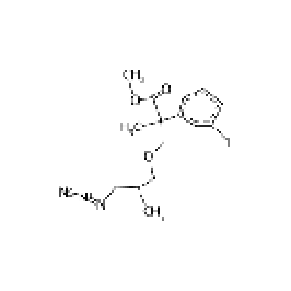 COC(=O)C(C)(COCC(C)CN=[N+]=[N-])c1cccc(I)c1